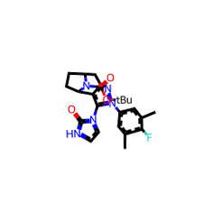 Cc1cc(-n2nc3c(c2-n2cc[nH]c2=O)C2CCC(C3)N2C(=O)OC(C)(C)C)cc(C)c1F